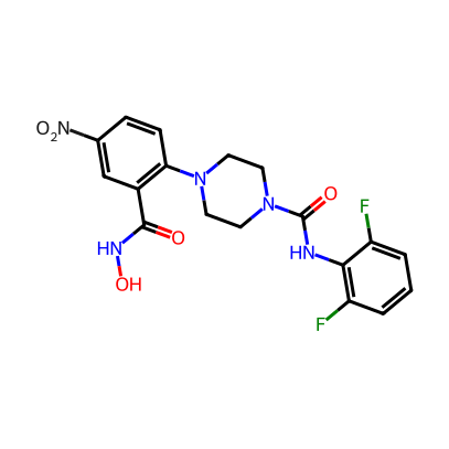 O=C(NO)c1cc([N+](=O)[O-])ccc1N1CCN(C(=O)Nc2c(F)cccc2F)CC1